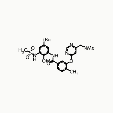 CNCc1cc(Oc2cc(C(=O)Nc3cc(C(C)(C)C)cc(NS(C)(=O)=O)c3OC)ccc2C)ncn1